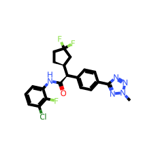 Cn1nnc(-c2ccc([C@@H](C(=O)Nc3cccc(Cl)c3F)[C@H]3CCC(F)(F)C3)cc2)n1